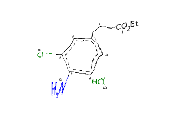 CCOC(=O)Cc1ccc(N)c(Cl)c1.Cl